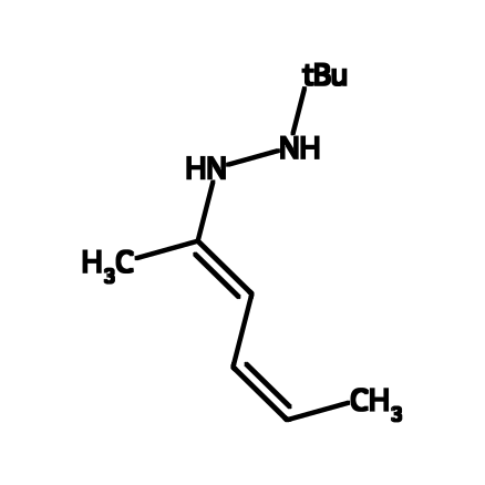 C/C=C\C=C(/C)NNC(C)(C)C